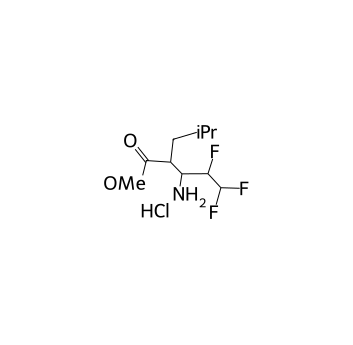 COC(=O)C(CC(C)C)C(N)C(F)C(F)F.Cl